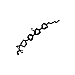 C=CC(=O)N(C)C1CCC(c2ccc(-c3ccc(-c4ccc(CCCCC)cc4)cc3F)cc2)CC1